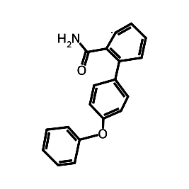 NC(=O)c1[c]cccc1-c1ccc(Oc2ccccc2)cc1